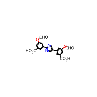 O=COc1cc(C(=O)O)cc(-c2cnc(-c3cc(OC=O)cc(C(=O)O)c3)nc2)c1